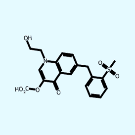 CS(=O)(=O)c1ccccc1Cc1ccc2c(c1)c(=O)c(OC(=O)O)cn2CCO